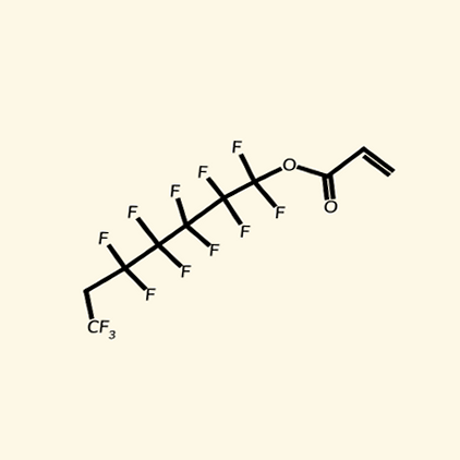 C=CC(=O)OC(F)(F)C(F)(F)C(F)(F)C(F)(F)C(F)(F)CC(F)(F)F